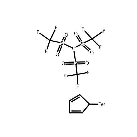 O=S(=O)([C-](S(=O)(=O)C(F)(F)F)S(=O)(=O)C(F)(F)F)C(F)(F)F.[Fe+][CH]1C=CC=C1